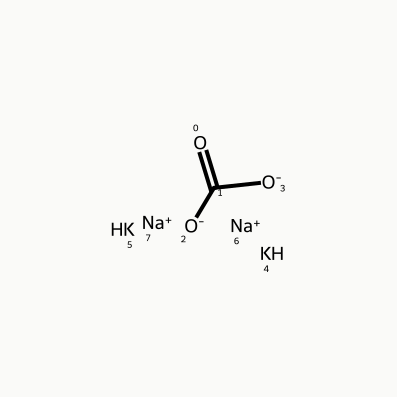 O=C([O-])[O-].[KH].[KH].[Na+].[Na+]